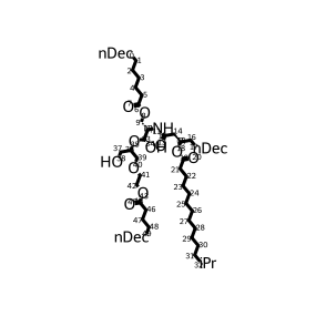 CCCCCCCCCCCCCCCC(=O)OC[C@H](NC(=O)C[C@@H](CCCCCCCCCCC)OC(=O)CCCCCCCCCCCC(C)C)C(O)OC(CO)COCCOC(=O)CCCCCCCCCCCCC